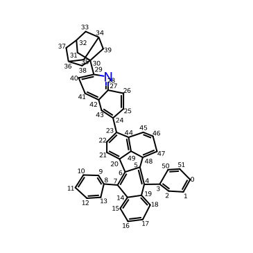 c1ccc(-c2c3c(c(-c4ccccc4)c4ccccc24)-c2ccc(-c4ccc5nc(C67CC8CC(CC(C8)C6)C7)ccc5c4)c4cccc-3c24)cc1